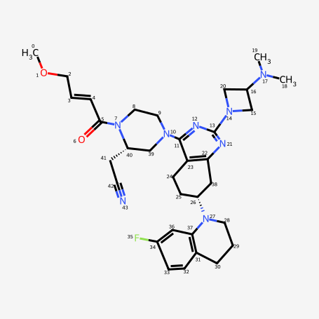 COC/C=C/C(=O)N1CCN(c2nc(N3CC(N(C)C)C3)nc3c2CC[C@@H](N2CCCc4ccc(F)cc42)C3)C[C@@H]1CC#N